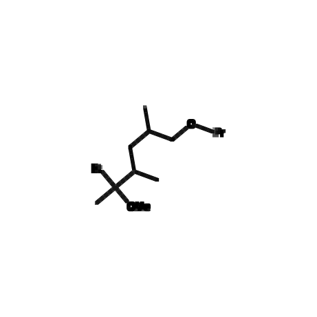 CCC(C)(OC)C(C)CC(C)COC(C)C